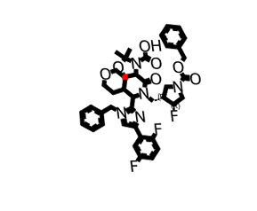 CC1(C)OCC(C(=O)N(C[C@@H]2CN(C(=O)OCc3ccccc3)C[C@@H]2F)C(c2nc(-c3cc(F)ccc3F)cn2Cc2ccccc2)C2CCOCC2)N1C(=O)O